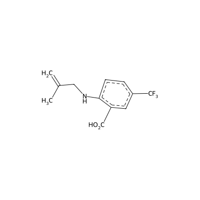 C=C(C)CNc1ccc(C(F)(F)F)cc1C(=O)O